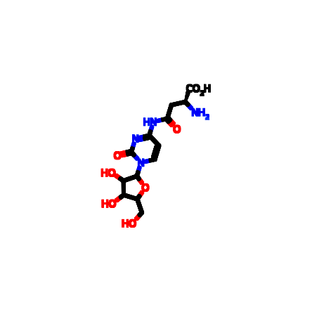 N[C@@H](CC(=O)Nc1ccn(C2OC(CO)C(O)C2O)c(=O)n1)C(=O)O